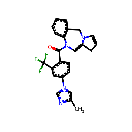 Cc1cn(-c2ccc(C(=O)N3C=C4CC=CN4Cc4ccccc43)c(C(F)(F)F)c2)cn1